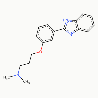 CN(C)CCCOc1cccc(-c2nc3ccccc3[nH]2)c1